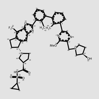 COc1nc(-c2cccc(-c3cccc(-c4nc5cc6c(c(C(F)(F)F)c5o4)CC[C@H]6N4CC[C@@H](C(=O)NS(=O)(=O)C5CC5)C4)c3C)c2C)cnc1CN1CC[C@@H](O)C1